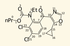 CCCOC(=O)N(CC)c1c(C(=O)c2ncoc2C2CC2)ccc(Cl)c1Cl